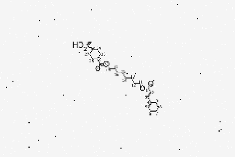 O=C(C=Cc1ccccc1)OCCCCCCCCOC(=O)C1CCC(C(=O)O)CC1